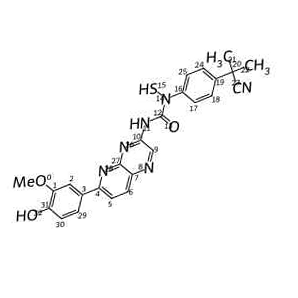 COc1cc(-c2ccc3ncc(NC(=O)N(S)c4ccc(C(C)(C)C#N)cc4)nc3n2)ccc1O